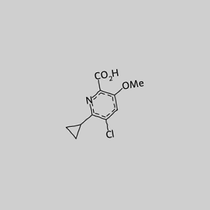 COc1cc(Cl)c(C2CC2)nc1C(=O)O